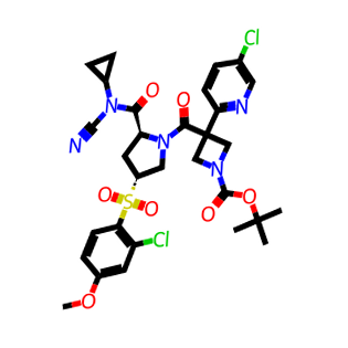 COc1ccc(S(=O)(=O)[C@@H]2C[C@@H](C(=O)N(C#N)C3CC3)N(C(=O)C3(c4ccc(Cl)cn4)CN(C(=O)OC(C)(C)C)C3)C2)c(Cl)c1